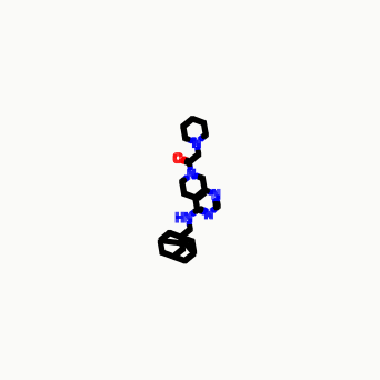 O=C(CN1CCCCC1)N1CCc2c(ncnc2NCC23CC4CC(CC(C4)C2)C3)C1